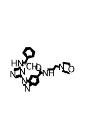 C[C@H](Nc1cncc(-n2cnc3ccc(C(=O)NCCCN4CCOCC4)cc32)n1)c1ccccc1